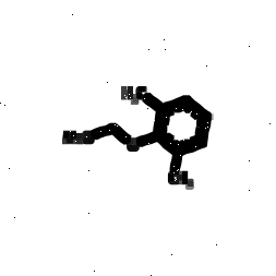 COCOc1c(C)c[c]cc1C